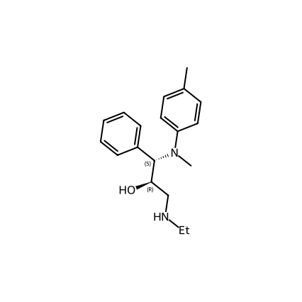 CCNC[C@@H](O)[C@H](c1ccccc1)N(C)c1ccc(C)cc1